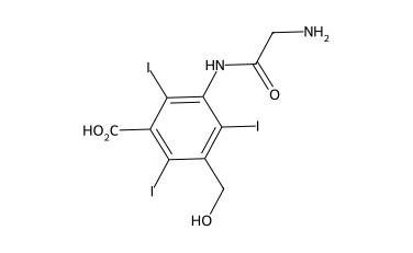 NCC(=O)Nc1c(I)c(CO)c(I)c(C(=O)O)c1I